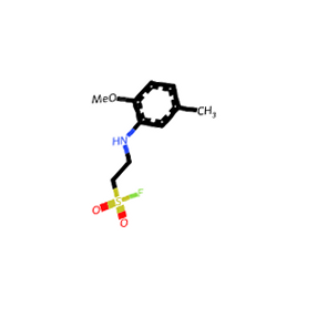 COc1ccc(C)cc1NCCS(=O)(=O)F